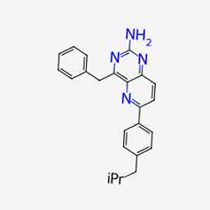 CC(C)Cc1ccc(-c2ccc3nc(N)nc(Cc4ccccc4)c3n2)cc1